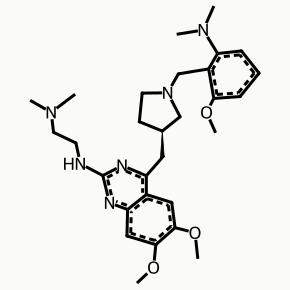 COc1cc2nc(NCCN(C)C)nc(C[C@H]3CCN(Cc4c(OC)cccc4N(C)C)C3)c2cc1OC